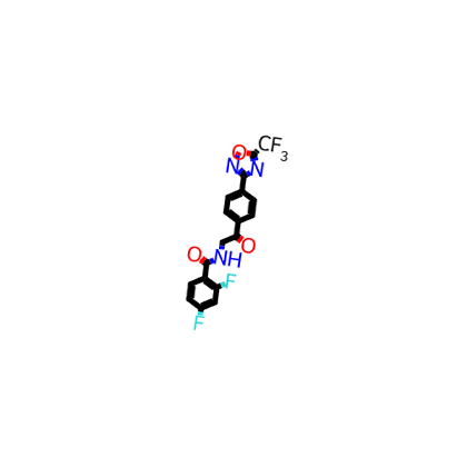 O=C(CNC(=O)c1ccc(F)cc1F)c1ccc(-c2noc(C(F)(F)F)n2)cc1